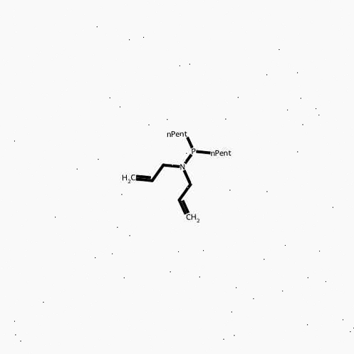 C=CCN(CC=C)P(CCCCC)CCCCC